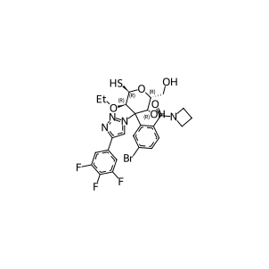 CCO[C@H]1[C@@H](S)O[C@H](CO)[C@H](O)C1(c1cc(Br)ccc1C(=O)N1CCC1)n1cc(-c2cc(F)c(F)c(F)c2)nn1